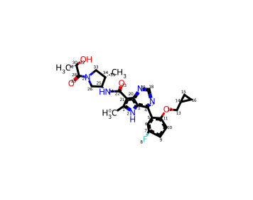 Cc1[nH]c2c(-c3cc(F)ccc3OCC3CC3)ncnc2c1C(=O)N[C@@H]1CN(C(=O)[C@H](C)O)C[C@@H]1C